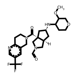 COC1COCCC1N[C@@H]1C[C@H]2CN(C=O)C[C@@]2(C(=O)N2CCc3ncc(C(F)(F)F)cc3C2)C1